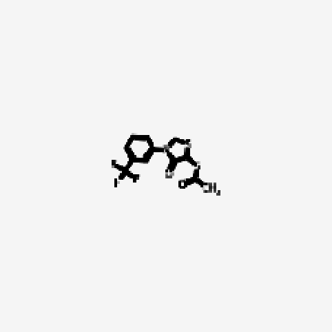 CC(=O)SC1SCN(c2cccc(C(F)(F)F)c2)C1=O